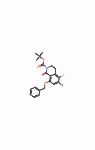 CC(C)(C)OC(=O)N1CCc2c(F)c(Br)cc(OCc3ccccc3)c2C1=O